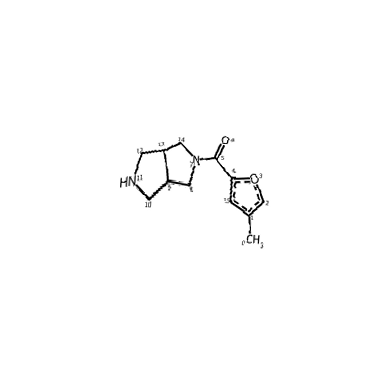 Cc1coc(C(=O)N2CC3CNCC3C2)c1